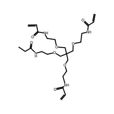 C=CC(=O)NCCOCC(COCCNC(=O)C=C)(COCCNC(=O)C=C)COCCNC(=O)CC